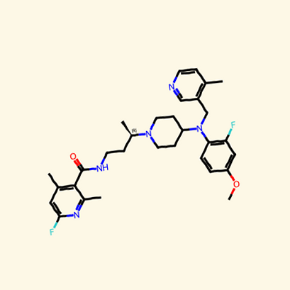 COc1ccc(N(Cc2cnccc2C)C2CCN([C@H](C)CCNC(=O)c3c(C)cc(F)nc3C)CC2)c(F)c1